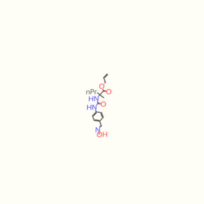 C=CCOC(=O)C(C)(CCC)NC(=O)Nc1ccc(C=NO)cc1